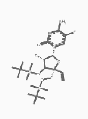 C=C[C@]1(CO[Si](C)(C)C(C)(C)C)O[C@@H](n2cc(F)c(N)nc2=O)[C@@H](F)C1O[Si](C)(C)C(C)(C)C